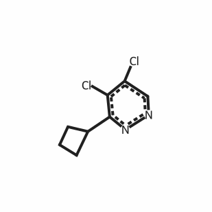 Clc1cnnc(C2CCC2)c1Cl